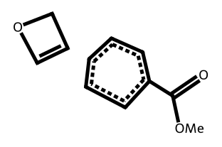 C1=COC1.COC(=O)c1ccccc1